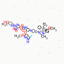 CCOc1nc2[nH]cc(F)c2cc1Oc1cc(N2CCC3(CC2)CC(N2C[C@H](C)N(Cc4ccc(OC)cc4)C[C@H]2c2ccccc2C(C)C)C3)ccc1C(=O)NS(=O)(=O)c1cnc(NCC2CCC(C)(O)CC2)c([N+](=O)[O-])c1